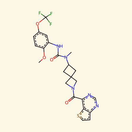 COc1ccc(OC(F)(F)F)cc1NC(=O)N(C)C1CC2(C1)CN(C(=O)c1ncnc3ccsc13)C2